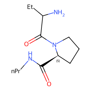 CCCNC(=O)[C@@H]1CCCN1C(=O)C(N)CC